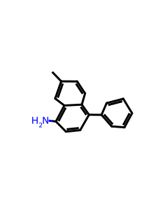 Cc1ccc2c(-c3ccccc3)ccc(N)c2c1